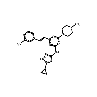 CN1CCN(c2nc(/C=C/c3cccc(C(F)(F)F)c3)nc(Nc3cc(C4CC4)[nH]n3)n2)CC1